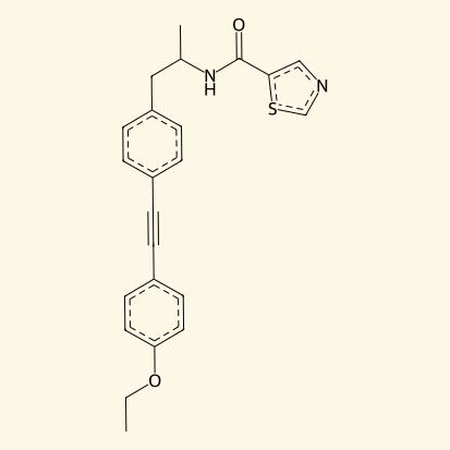 CCOc1ccc(C#Cc2ccc(CC(C)NC(=O)c3cncs3)cc2)cc1